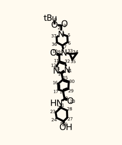 CC(C)(C)OC(=O)N1CCC(N(C(=O)c2cnc(-c3ccc(C(=O)NC4CCC(O)CC4)cc3)nc2)C2CC2)CC1